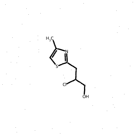 Cc1csc(CC(Cl)CO)n1